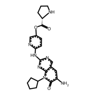 Nc1cc2cnc(Nc3ccc(OC(=O)[C@@H]4CCCN4)cn3)nc2n(C2CCCC2)c1=O